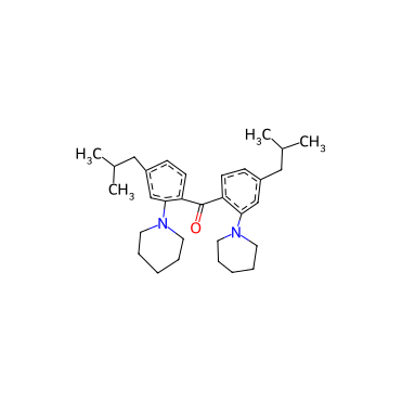 CC(C)Cc1ccc(C(=O)c2ccc(CC(C)C)cc2N2CCCCC2)c(N2CCCCC2)c1